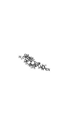 COC[C@]12CC[C@@](C)(O)C[C@H]1CC[C@H]1[C@@H]3CC[C@H](C(=O)Cn4ccc(C#N)n4)C3(C)CC[C@@H]12